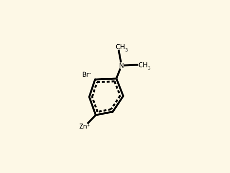 CN(C)c1cc[c]([Zn+])cc1.[Br-]